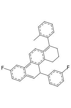 Cc1ccccc1C1=c2ccc3c(c2CCC1)C(c1cccc(F)c1)C=c1ccc(F)cc1=3